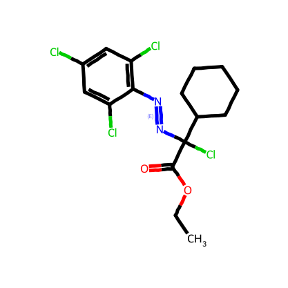 CCOC(=O)C(Cl)(/N=N/c1c(Cl)cc(Cl)cc1Cl)C1CCCCC1